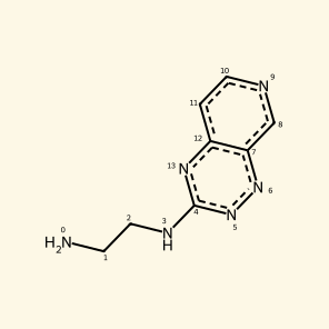 NCCNc1nnc2cnccc2n1